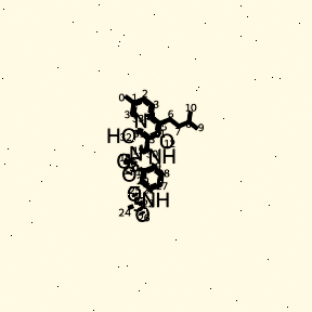 Cc1ccc2c(CCC(C)C)c(=O)c(C3=NS(=O)(=O)c4cc(NS(C)(=O)=O)ccc4N3)c(O)n2c1